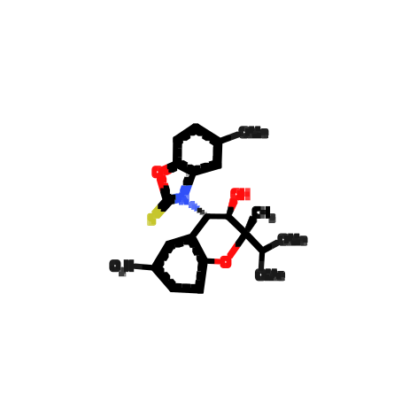 COc1ccc2oc(=S)n([C@H]3c4cc([N+](=O)[O-])ccc4O[C@@](C)(C(OC)OC)[C@@H]3O)c2c1